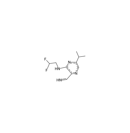 CC(C)c1cnc(C=N)c(NCC(F)F)n1